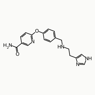 NC(=O)c1ccc(Oc2ccc(CNCCc3c[nH]cn3)cc2)nc1